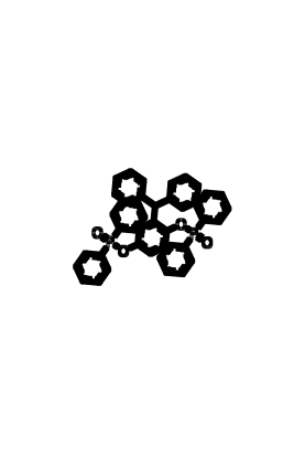 O=P(Oc1ccc(OP(=O)(c2ccccc2)c2ccccc2)c(C(c2ccccc2)c2ccccc2)c1)(c1ccccc1)c1ccccc1